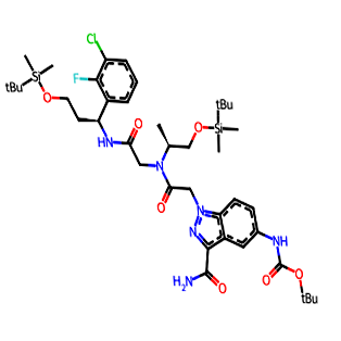 C[C@@H](CO[Si](C)(C)C(C)(C)C)N(CC(=O)N[C@@H](CCO[Si](C)(C)C(C)(C)C)c1cccc(Cl)c1F)C(=O)Cn1nc(C(N)=O)c2cc(NC(=O)OC(C)(C)C)ccc21